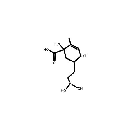 CC1=CCC(CCB(O)O)CC1(N)C(=O)O.Cl